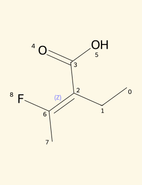 CC/C(C(=O)O)=C(\C)F